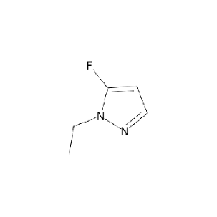 CCn1nccc1F